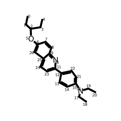 CCC(CC)Oc1ccc2nc(-c3ccc(N(CC)CC)cc3)ccc2c1